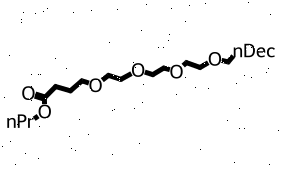 CCCCCCCCCCCOCCOCCOCCOCCCC(=O)OCCC